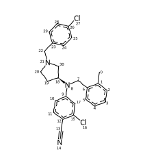 Cc1ccccc1CN(c1ccc(C#N)c(Cl)c1)[C@H]1CCN(Cc2ccc(Cl)cc2)C1